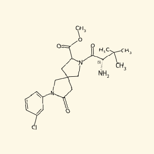 COC(=O)C1CC2(CC(=O)N(c3cccc(Cl)c3)C2)CN1C(=O)[C@@H](N)C(C)(C)C